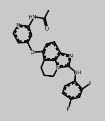 CC(=O)Nc1cc(Oc2ccc3nc(Nc4ccc(F)cc4F)n4c3c2CCC4)ccn1